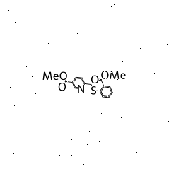 COC(=O)c1ccc(CSc2ccccc2C(=O)OC)nc1